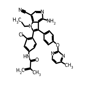 C=C(C)C(=O)Nc1ccc(-c2c(-c3ccc(Oc4nccc(C)n4)cc3)c3c(N)ncc(C#N)c3n2CC)c(Cl)c1